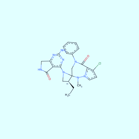 CC[C@H]1CN(c2nc(N)nc3c2C(=O)NC3)C12CN(c1ccccc1)C(=O)c1c(Cl)ccn1N2C